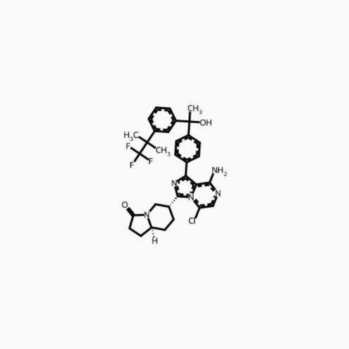 CC(O)(c1ccc(-c2nc([C@@H]3CC[C@H]4CCC(=O)N4C3)n3c(Cl)cnc(N)c23)cc1)c1cccc(C(C)(C)C(F)(F)F)c1